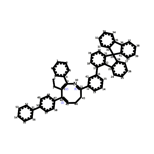 CCC1=C(c2ccccc2)/N=C(/c2cccc(-c3cccc4c3-c3ccccc3C43c4ccccc4-c4ccccc43)c2)CC/C=C\1c1ccc(-c2ccccc2)cc1